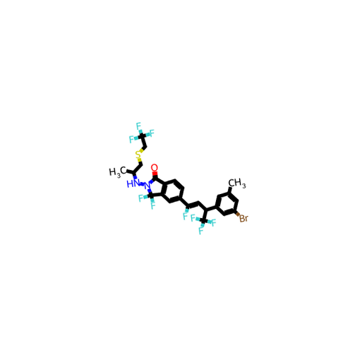 Cc1cc(Br)cc(C(/C=C(\F)c2ccc3c(c2)C(F)(F)N(NC(C)CSCC(F)(F)F)C3=O)C(F)(F)F)c1